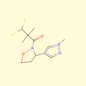 Cn1cc(C2CCON2C(=O)C(C)(C)C(F)F)cn1